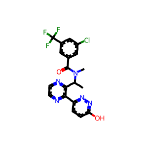 CC(c1nccnc1-c1ccc(O)nn1)N(C)C(=O)c1cc(Cl)cc(C(F)(F)F)c1